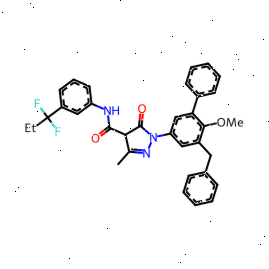 CCC(F)(F)c1cccc(NC(=O)C2C(=O)N(c3cc(Cc4ccccc4)c(OC)c(-c4ccccc4)c3)N=C2C)c1